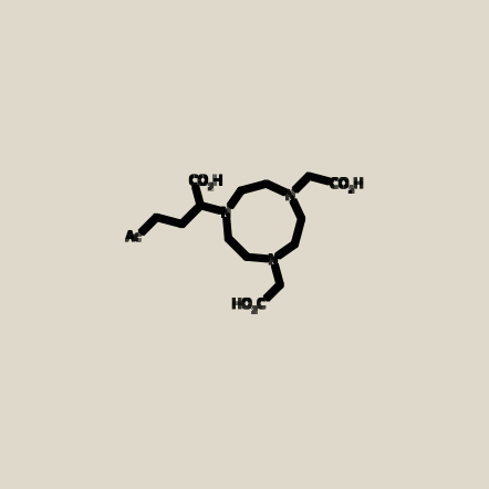 CC(=O)CCC(C(=O)O)N1CCN(CC(=O)O)CCN(CC(=O)O)CC1